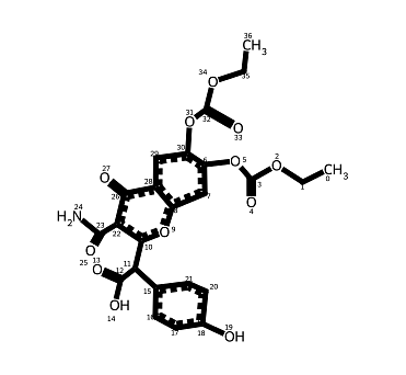 CCOC(=O)Oc1cc2oc(C(C(=O)O)c3ccc(O)cc3)c(C(N)=O)c(=O)c2cc1OC(=O)OCC